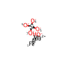 [Al+3].[Fe].[Mg+2].[O-][Si]([O-])([O-])[O-].[OH-]